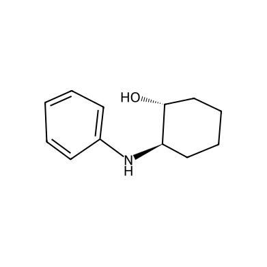 O[C@@H]1CCCC[C@H]1Nc1ccccc1